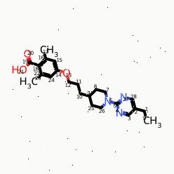 CCc1cnc(N2CCC(CCCOc3cc(C)c(C(=O)O)c(C)c3)CC2)nc1